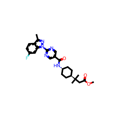 COC(=O)CC(C)(C)[C@H]1CC[C@H](NC(=O)c2cnc(-n3nc(C)c4ccc(F)cc43)nc2)CC1